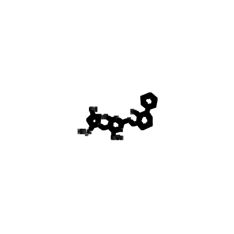 COc1nc(SCc2cccc(-c3ccccc3)c2Br)nc(OC)c1Cn1cc(O)cc1C(=O)O